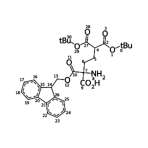 CC(C)(C)OC(=O)C(CCC(N)(C(=O)O)C(=O)OCC1c2ccccc2-c2ccccc21)C(=O)OC(C)(C)C